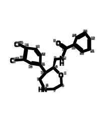 O=C(NC[C@H]1OCCNCC1c1ccc(Cl)c(Cl)c1)c1ccccc1